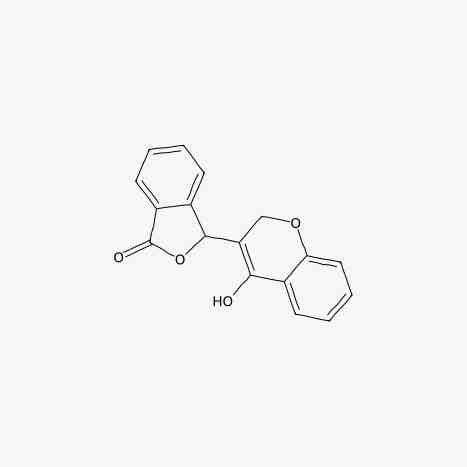 O=C1OC(C2=C(O)c3ccccc3OC2)c2ccccc21